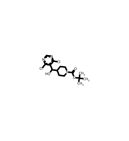 CC(C)(C)OC(=O)N1CCC(C(O)c2c(Cl)ncnc2Cl)CC1